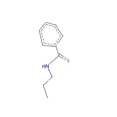 CCCNC(=S)c1ccccc1